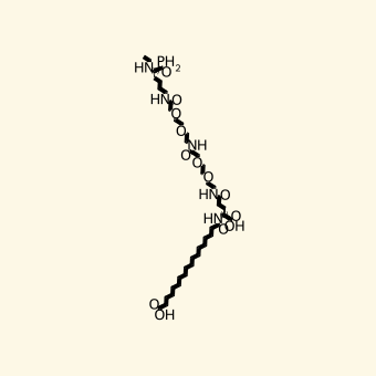 CCN[C@@H](CCCCNC(=O)COCCOCCNC(=O)COCCOCCNC(=O)CC[C@H](NC(=O)CCCCCCCCCCCCCCCCC(=O)O)C(=O)O)C(=O)P